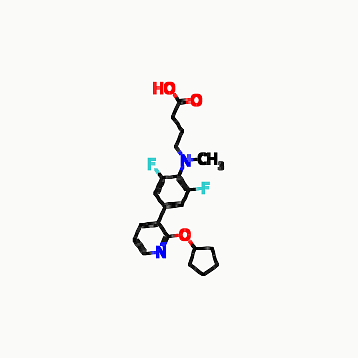 CN(CCCC(=O)O)c1c(F)cc(-c2cccnc2OC2CCCC2)cc1F